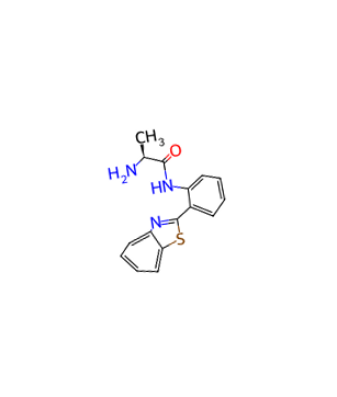 C[C@H](N)C(=O)Nc1ccccc1-c1nc2ccccc2s1